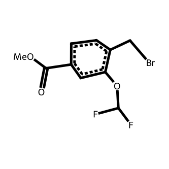 COC(=O)c1ccc(CBr)c(OC(F)F)c1